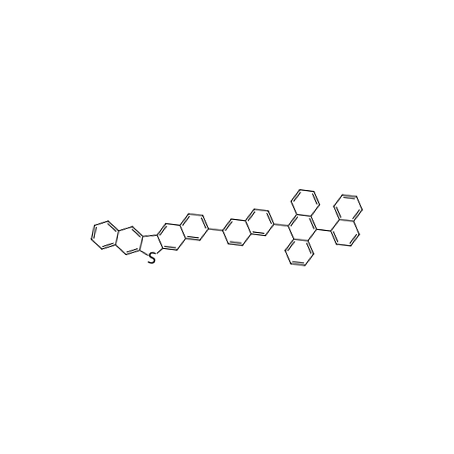 c1ccc2cc3c(cc2c1)sc1cc2cc(-c4ccc5cc(-c6c7ccccc7c(-c7cccc8ccccc78)c7ccccc67)ccc5c4)ccc2cc13